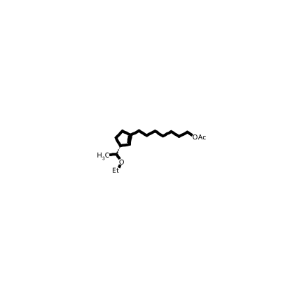 CCOC(C)[C@H]1C=C(CCCCCCCOC(C)=O)CC1